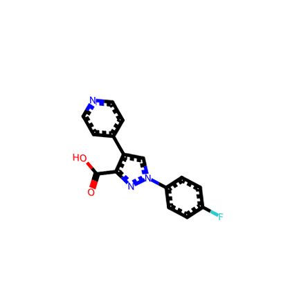 O=C(O)c1nn(-c2ccc(F)cc2)cc1-c1ccncc1